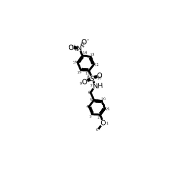 COc1ccc(CNS(=O)(=O)c2ccc([N+](=O)[O-])cc2)cc1